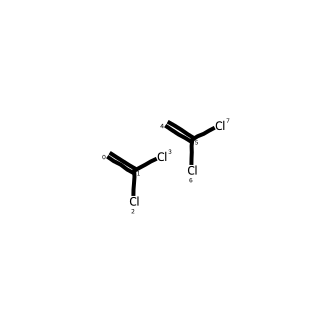 C=C(Cl)Cl.C=C(Cl)Cl